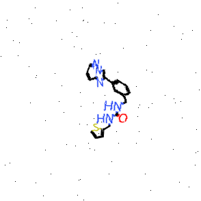 O=C(NCc1cccc(-c2cn3ncccc3n2)c1)NCc1cccs1